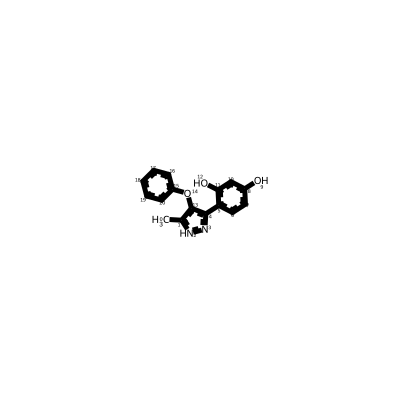 Cc1[nH]nc(-c2ccc(O)cc2O)c1Oc1ccccc1